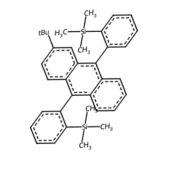 CC(C)(C)c1ccc2c(-c3ccccc3[Si](C)(C)C)c3ccccc3c(-c3ccccc3[Si](C)(C)C)c2c1